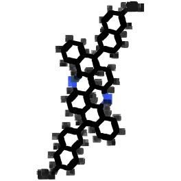 CC(C)(C)c1ccc2cc(-c3c4ccccc4c4nc5ccc6c(-c7ccc8cc(C(C)(C)C)ccc8c7)c7ccccc7c7nc8ccc3c4c8c5c67)ccc2c1